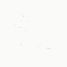 Cn1cnc2cnc3sc(-c4cccc(C(C)(C)NC(=O)c5csnn5)c4)nc3c21